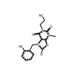 Cn1c(=O)n(CCC#N)c(=O)c2c1nc(Cl)n2Cc1ccccc1C#N